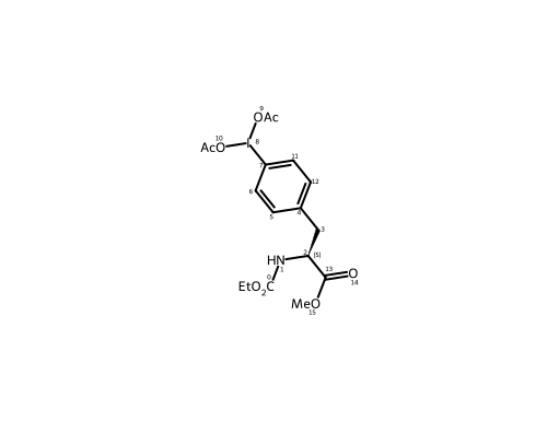 CCOC(=O)N[C@@H](Cc1ccc(I(OC(C)=O)OC(C)=O)cc1)C(=O)OC